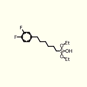 CCO[Si](O)(CCCCCCc1ccc(F)c(F)c1)OCC